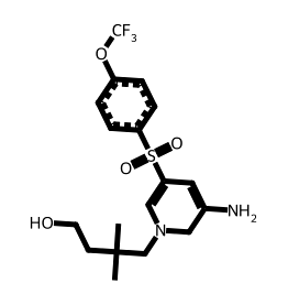 CC(C)(CCO)CN1C=C(S(=O)(=O)c2ccc(OC(F)(F)F)cc2)C=C(N)C1